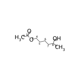 CC(=O)OCCCCC(C)O